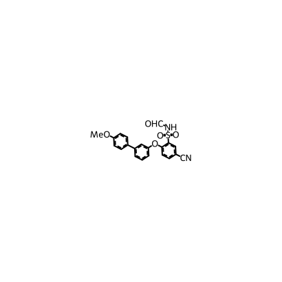 COc1ccc(-c2cccc(Oc3ccc(C#N)cc3S(=O)(=O)NC=O)c2)cc1